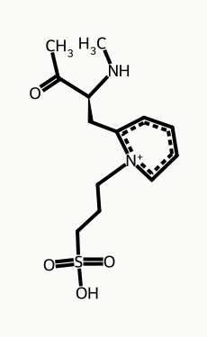 CN[C@@H](Cc1cccc[n+]1CCCS(=O)(=O)O)C(C)=O